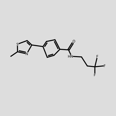 Cc1nc(-c2ccc(C(=O)NCCC(F)(F)F)cc2)cs1